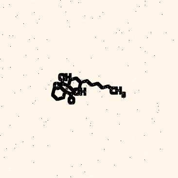 CCCCCC[C@H]1CC[C@](C(=O)O)(C2(C(=O)O)CCCCC2)CC1